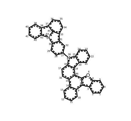 c1ccc2c(c1)oc1c2c2ccccc2c2ccc3c(c4ccccc4n3-c3ccc4c(c3)c3cccc5c6ccccc6n4c53)c21